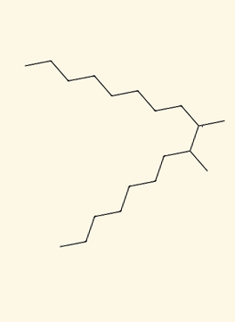 CCCCCCCC[C](C)C(C)CCCCCCC